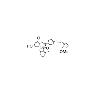 COCC1CCCN1CCCc1ccc(N(Cc2ccc(O)cc2Cl)S(=O)(=O)c2c(C)cc(C)cc2C)cc1